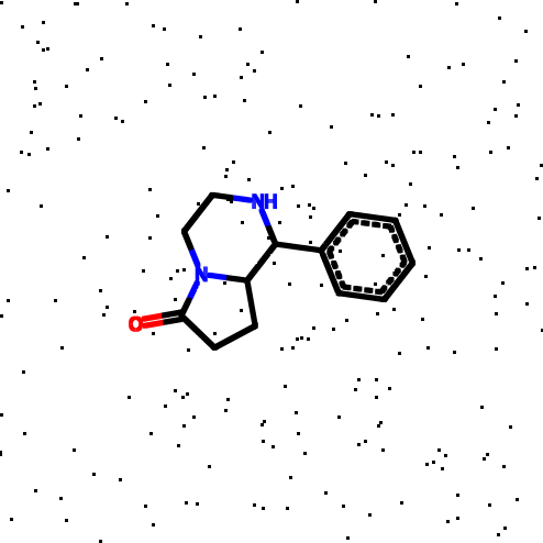 O=C1CCC2C(c3ccccc3)NCCN12